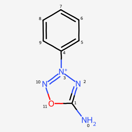 Nc1n[n+](-c2ccccc2)no1